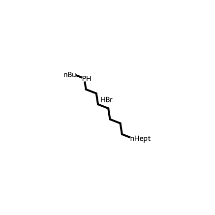 Br.CCCCCCCCCCCCCCPCCCC